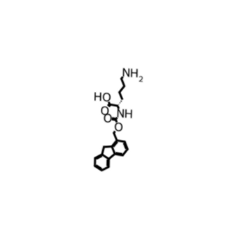 NCCCC[C@H](NC(=O)OCc1cccc2c1Cc1ccccc1-2)C(=O)O